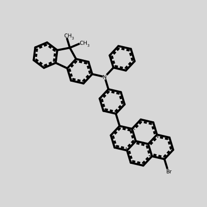 CC1(C)c2ccccc2-c2ccc(N(c3ccccc3)c3ccc(-c4ccc5ccc6c(Br)ccc7ccc4c5c76)cc3)cc21